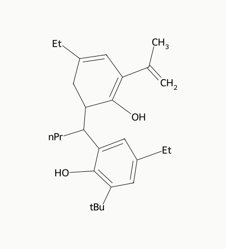 C=C(C)C1=C(O)C(C(CCC)c2cc(CC)cc(C(C)(C)C)c2O)CC(CC)=C1